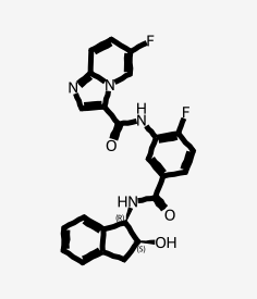 O=C(N[C@@H]1c2ccccc2C[C@@H]1O)c1ccc(F)c(NC(=O)c2cnc3ccc(F)cn23)c1